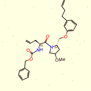 C=CCCc1cccc(OC[C@@H]2CC(OC)CN2C(=O)[C@H](CC=C)NC(=O)OCc2ccccc2)c1